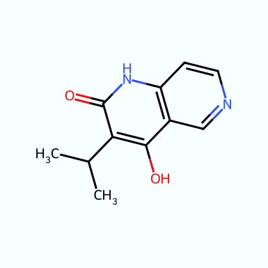 CC(C)c1c(O)c2cnccc2[nH]c1=O